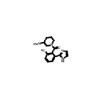 CNC1CCCN(C(=O)c2c(C#N)cccc2-c2ncc[nH]2)C1